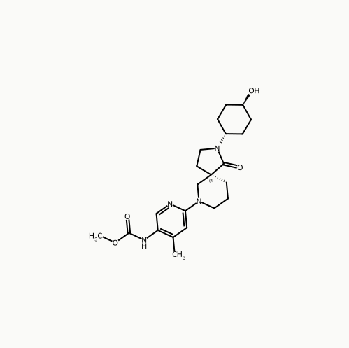 COC(=O)Nc1cnc(N2CCC[C@@]3(CCN([C@H]4CC[C@H](O)CC4)C3=O)C2)cc1C